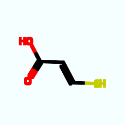 O=C(O)/C=C/S